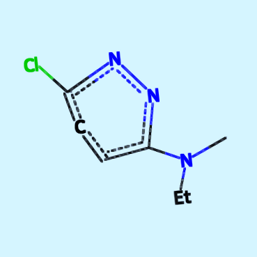 CCN(C)c1ccc(Cl)nn1